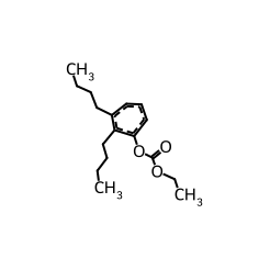 CCCCc1cccc(OC(=O)OCC)c1CCCC